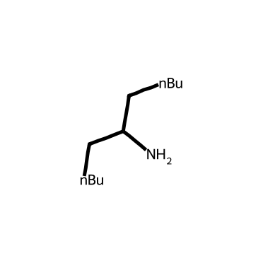 CCCCCC(N)CCCCC